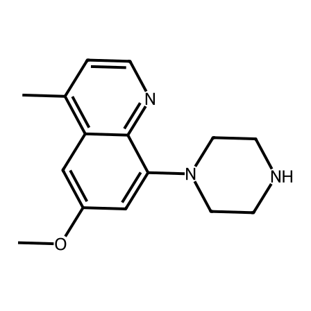 COc1cc(N2CCNCC2)c2nccc(C)c2c1